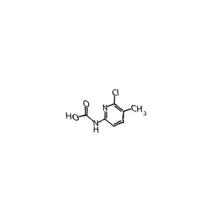 Cc1ccc(NC(=O)O)nc1Cl